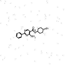 CC(C)N1CCC(NC(=O)c2cnc(-c3ccccc3)nc2N)CC1